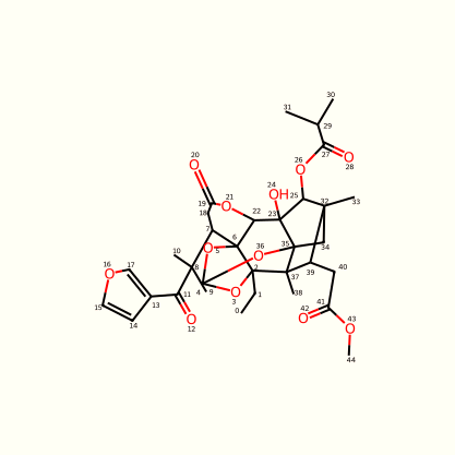 CCC12OC3OC14C(C(C)(C)C(=O)c1ccoc1)CC(=O)OC4C1(O)C(OC(=O)C(C)C)C4(C)CC1(O3)C2(C)C4CC(=O)OC